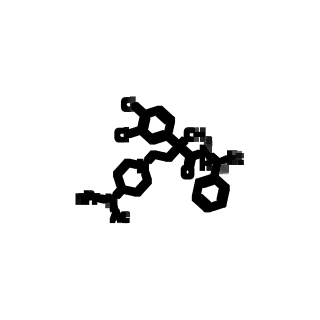 CCCN(C(C)=O)C1CCN(CCC(C)(C(=O)N[C@@H](CC)c2ccccc2)c2ccc(Cl)c(Cl)c2)CC1